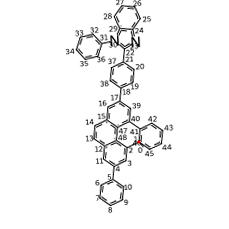 CCc1cc(-c2ccccc2)cc2ccc3cc(-c4ccc(-c5nc6ccccc6n5-c5ccccc5)cc4)cc(-c4ccccc4)c3c12